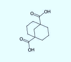 O=C(O)C12CCCC(C(=O)O)(CCC1)C2